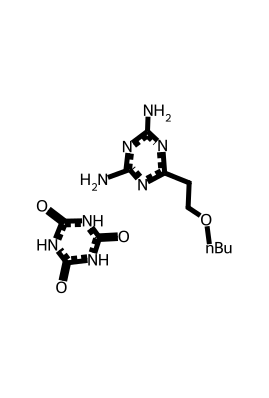 CCCCOCCc1nc(N)nc(N)n1.O=c1[nH]c(=O)[nH]c(=O)[nH]1